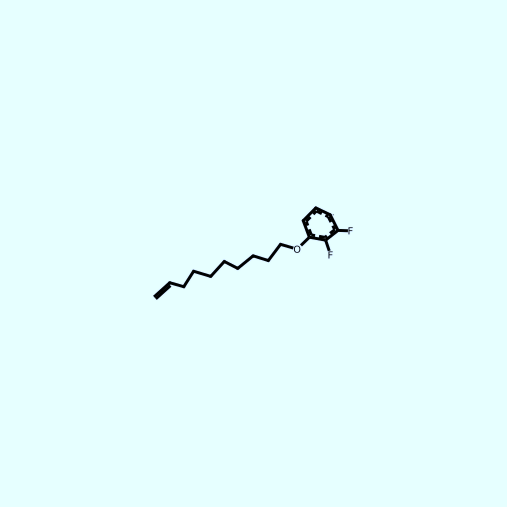 C=CCCCCCCCCOc1cc[c]c(F)c1F